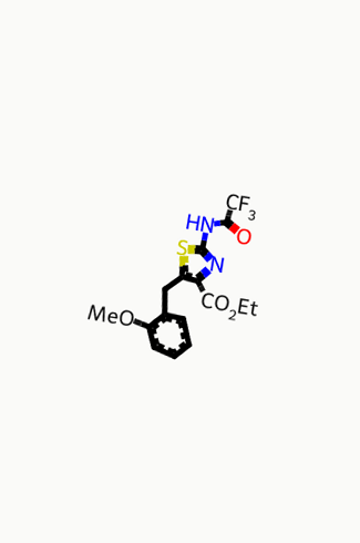 CCOC(=O)c1nc(NC(=O)C(F)(F)F)sc1Cc1ccccc1OC